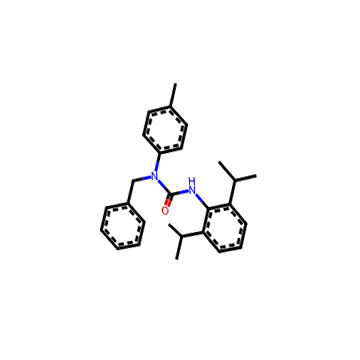 Cc1ccc(N(Cc2ccccc2)C(=O)Nc2c(C(C)C)cccc2C(C)C)cc1